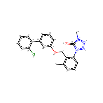 Cc1cccc(-n2nnn(C)c2=O)c1COc1cccc(-c2ccccc2Cl)c1